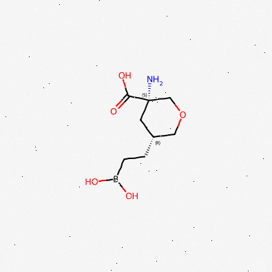 N[C@]1(C(=O)O)COC[C@H](CCB(O)O)C1